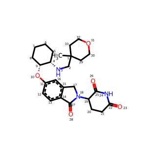 CC1(CN[C@H]2CCCC[C@H]2Oc2ccc3c(c2)CN(C2CCC(=O)NC2=O)C3=O)CCOCC1